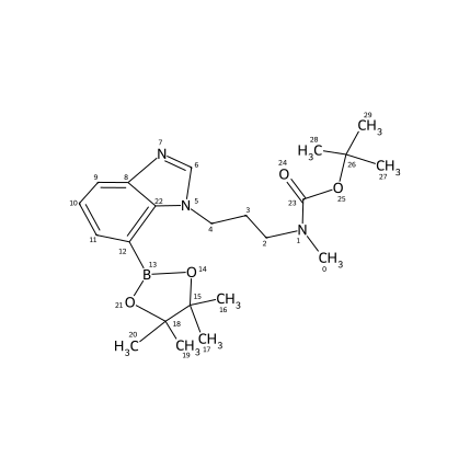 CN(CCCn1cnc2cccc(B3OC(C)(C)C(C)(C)O3)c21)C(=O)OC(C)(C)C